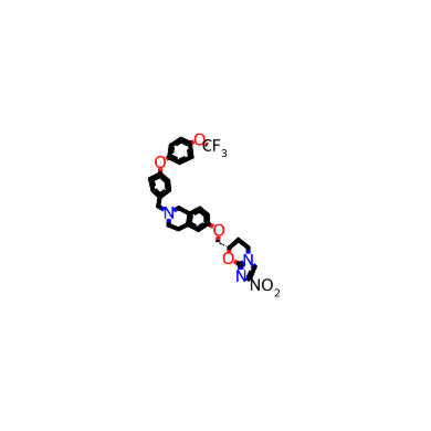 O=[N+]([O-])c1cn2c(n1)O[C@H](COc1ccc3c(c1)CCN(Cc1ccc(Oc4ccc(OC(F)(F)F)cc4)cc1)C3)CC2